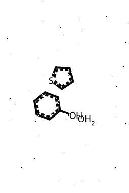 O.Oc1ccccc1.c1ccsc1